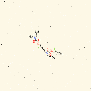 C#CCN(C)C(=O)C(=O)OC/C(F)=C/C=C/CN(CC#C)C(=O)C(=O)OCC(=C)F